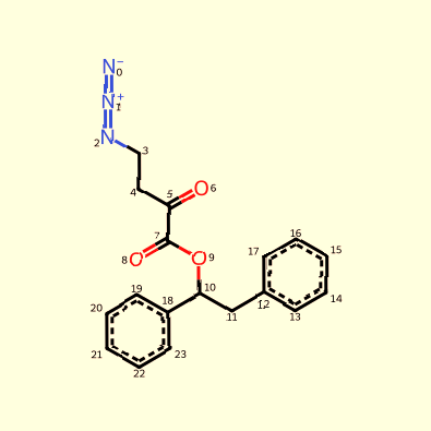 [N-]=[N+]=NCCC(=O)C(=O)OC(Cc1ccccc1)c1ccccc1